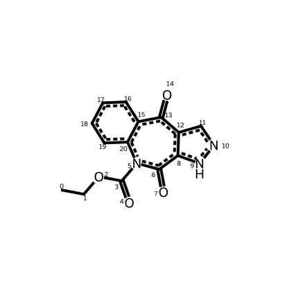 CCOC(=O)n1c(=O)c2[nH]ncc2c(=O)c2ccccc21